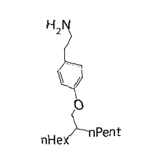 CCCCCCC(CCCCC)COc1ccc(CCN)cc1